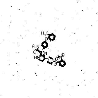 Cc1ccccc1Oc1ccc(-n2nc3c(c2C(N)=O)NCC[C@@H]3N2CCN(S(=O)(=O)c3ccccc3[N+](=O)[O-])CC2)cc1